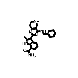 Cc1[nH]c2c(C(N)=O)cccc2c1-c1nc2c(c(NCc3ccccc3)n1)CNCC2